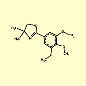 COc1cc(C2=NC(C)(C)CO2)cc(OC)c1OC